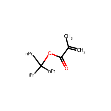 C=C(C)C(=O)OC(CCC)(CCC)C(C)C